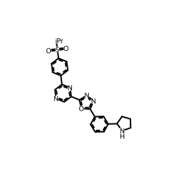 CC(C)S(=O)(=O)c1ccc(-c2cncc(-c3nnc(-c4cccc(C5CCCN5)c4)o3)n2)cc1